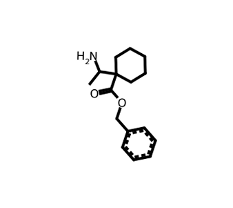 CC(N)C1(C(=O)OCc2ccccc2)CCCCC1